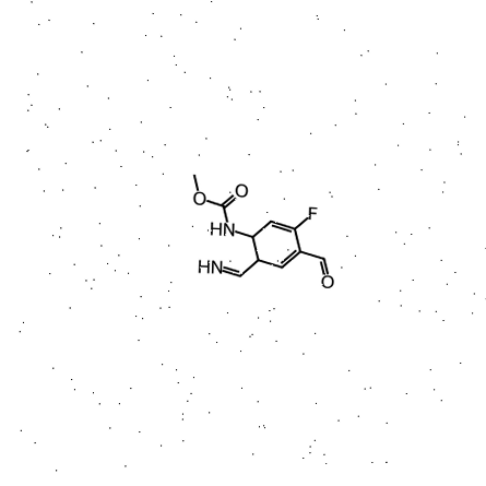 COC(=O)NC1C=C(F)C(C=O)=CC1C=N